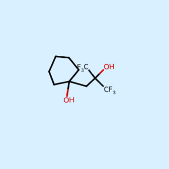 OC1(CC(O)(C(F)(F)F)C(F)(F)F)CCCCC1